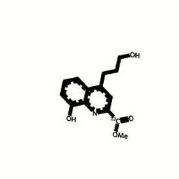 CO[13C](=O)c1cc(CCCO)c2cccc(O)c2n1